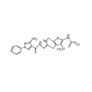 Cc1nn(-c2ccccc2)nc1C(=O)NCC1Cc2c(sc(NC(=O)C(=O)O)c2C(=O)O)CN1